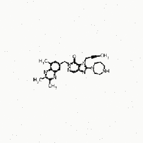 CC#CCn1c(N2CCCNCC2)nc2cnn(Cc3cc(C)c4nc(C)c(C)nc4c3)c(=O)c21